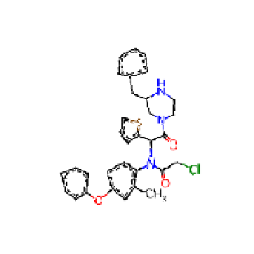 Cc1cc(Oc2ccccc2)ccc1N(C(=O)CCl)C(C(=O)N1CCNC(Cc2ccccc2)C1)c1cccs1